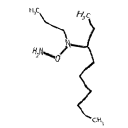 CCCCCC(CC)N(CCC)ON